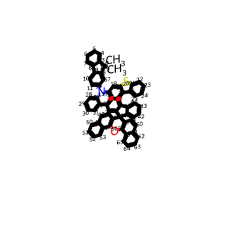 CC1(C)c2ccccc2-c2ccc(N(c3ccc4c(c3)sc3ccccc34)c3ccccc3-c3ccc4c(c3)C3(c5ccccc5-4)c4ccc5ccccc5c4Oc4c3ccc3ccccc43)cc21